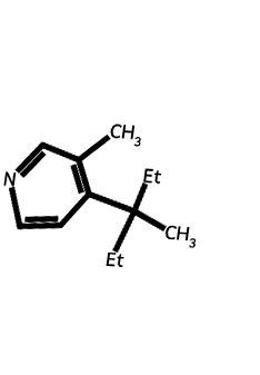 CCC(C)(CC)c1ccncc1C